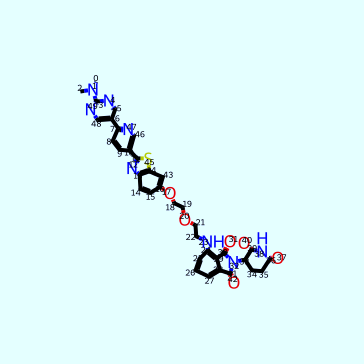 CN(C)c1ncc(-c2ccc(-c3nc4ccc(OCCOCCNc5cccc6c5C(=O)N(C5CCC(=O)NC5=O)C6=O)cc4s3)cn2)cn1